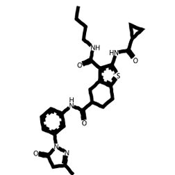 CCCCNC(=O)c1c(NC(=O)C2CC2)sc2c1CC(C(=O)Nc1cccc(N3N=C(C)CC3=O)c1)CC2